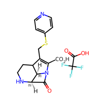 O=C(O)C(F)(F)F.O=C(O)C1=C(CSc2ccncc2)C2CCN[C@@H]3C(=O)N1[C@H]23